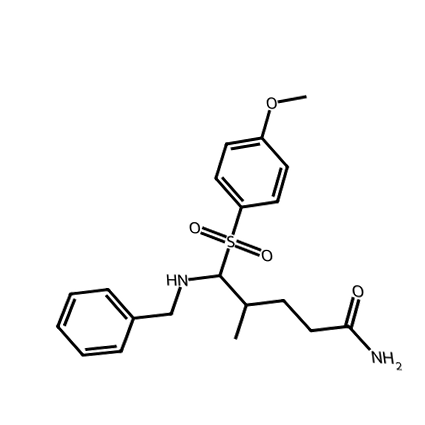 COc1ccc(S(=O)(=O)C(NCc2ccccc2)C(C)CCC(N)=O)cc1